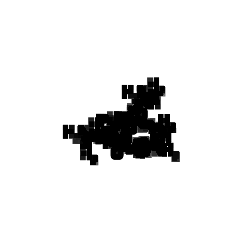 CC(C)[C@H](NN[C@@H](CCCNC(N)N)C(=O)C(=O)CCCCN)C(=O)N[C@@H](CCCNC(N)N)C(=O)NCc1ccc(C(=N)N)cc1